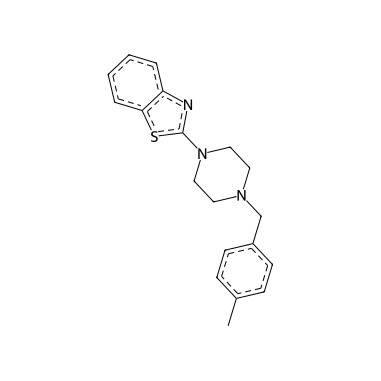 Cc1ccc(CN2CCN(c3nc4ccccc4s3)CC2)cc1